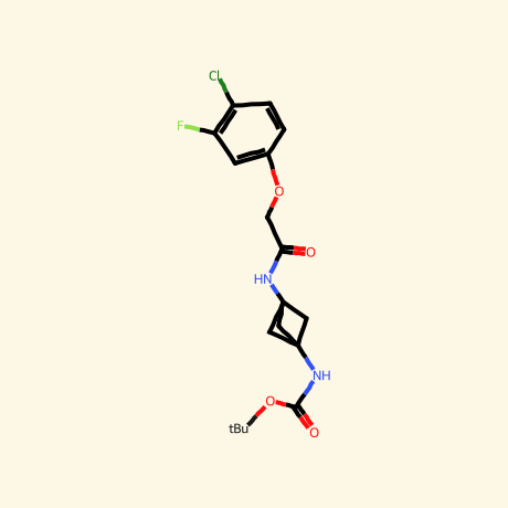 CC(C)(C)OC(=O)NC12CC(NC(=O)COc3ccc(Cl)c(F)c3)(C1)C2